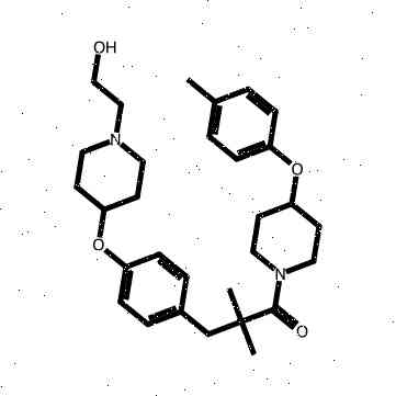 Cc1ccc(OC2CCN(C(=O)C(C)(C)Cc3ccc(OC4CCN(CCO)CC4)cc3)CC2)cc1